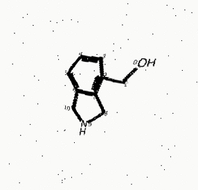 O[C]c1cccc2c1CNC2